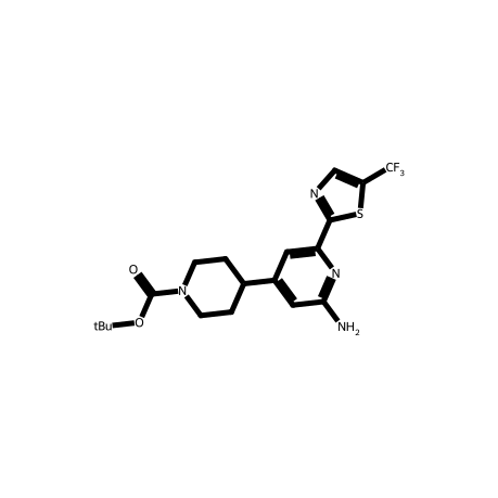 CC(C)(C)OC(=O)N1CCC(c2cc(N)nc(-c3ncc(C(F)(F)F)s3)c2)CC1